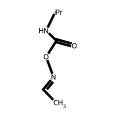 C/C=N/OC(=O)NC(C)C